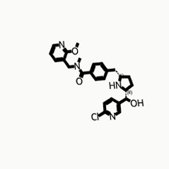 COc1ncccc1CN(C)C(=O)c1ccc(C[C@@H]2CC[C@H](C(O)c3ccc(Cl)nc3)N2)cc1